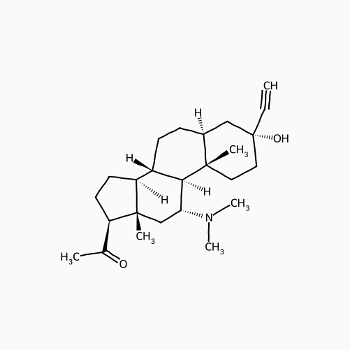 C#C[C@@]1(O)CC[C@@]2(C)[C@@H](CC[C@@H]3[C@@H]2[C@H](N(C)C)C[C@]2(C)[C@@H](C(C)=O)CC[C@@H]32)C1